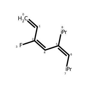 C=C/C(F)=C\C(=C/C(C)C)C(C)C